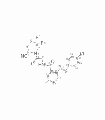 N#CC1CCC(F)(F)CN1C(=O)CNC(=O)c1ccncc1/C=C/c1ccc(Cl)cc1